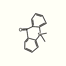 C[Si]1(C)c2ccccc2C(=O)c2ccccc21